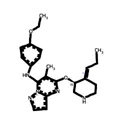 CC/C=C1\CCNC[C@H]1Oc1nc2ccnn2c(Nc2ccc(OCC)cc2)c1C